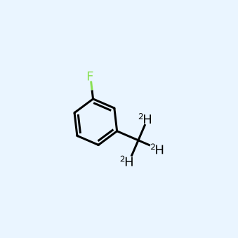 [2H]C([2H])([2H])c1cccc(F)c1